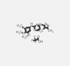 COc1cc(Nc2nccc(Nc3onc(C)c3C)n2)cc(OC)c1OC.O=C(O)C(F)(F)F